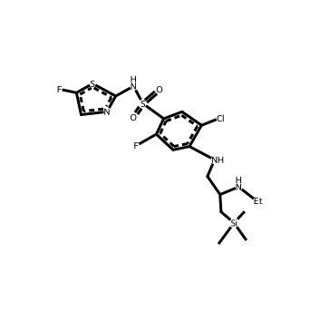 CCNC(CNc1cc(F)c(S(=O)(=O)Nc2ncc(F)s2)cc1Cl)C[Si](C)(C)C